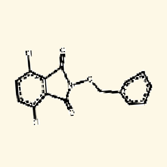 O=C1c2c(Cl)ccc(Cl)c2C(=O)N1OCc1ccccc1